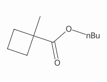 CCCCOC(=O)C1(C)CCC1